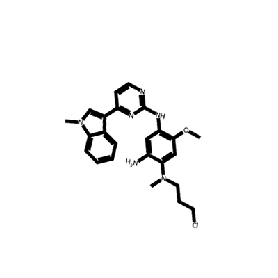 COc1cc(N(C)CCCCl)c(N)cc1Nc1nccc(-c2cn(C)c3ccccc23)n1